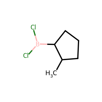 CC1CCCC1B(Cl)Cl